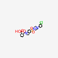 O=C(O)C1CC=CCC1C(=O)N1CCc2cc(S(=O)(=O)N3CCN(c4cccc(Cl)c4)CC3)ccc21